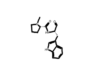 CN1CCC[C@H]1C(=O)N[C@H](C=O)Cc1c[nH]c2ccccc12